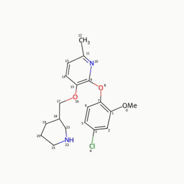 COc1cc(Cl)ccc1Oc1nc(C)ccc1OCC1CCCNC1